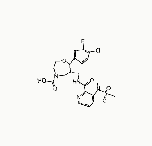 CS(=O)(=O)Nc1cccnc1C(=O)NC[C@@H]1CN(C(=O)O)CCO[C@H]1c1ccc(Cl)c(F)c1